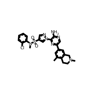 Cc1cc(-c2cnc(N)c(-n3cc(S(=O)(=O)N(C)c4ccccc4Cl)cn3)n2)cc2c1CCN(C)C2